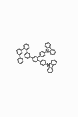 c1ccc(-c2cccc(-c3ccccc3-c3cccc(-c4ccc(-c5ccc(-n6c7ccccc7c7ccccc76)cc5)c(-c5ccc(-n6c7ccccc7c7ccccc76)cc5)c4)c3)c2)cc1